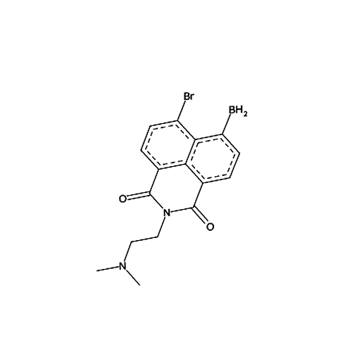 Bc1ccc2c3c(ccc(Br)c13)C(=O)N(CCN(C)C)C2=O